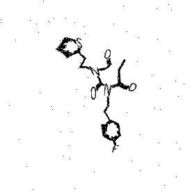 CCC(=O)N(CCc1ccc(F)cc1)C(=O)N(C=O)CCc1cccs1